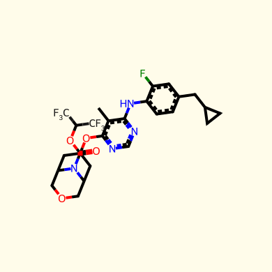 Cc1c(Nc2ccc(CC3CC3)cc2F)ncnc1OC1CC2COCC(C1)N2C(=O)OC(C(F)(F)F)C(F)(F)F